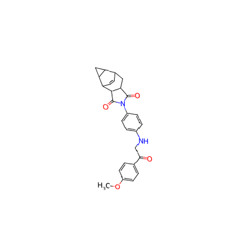 COc1ccc(C(=O)CNc2ccc(N3C(=O)C4CC5C=CC(C6CC56)C4C3=O)cc2)cc1